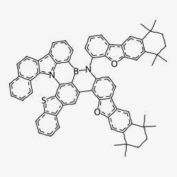 CC1(C)CCC(C)(C)c2cc3c(cc21)oc1c(N2B4c5c(cc6c(sc7ccccc76)c5-n5c6c4cccc6c4ccc6ccccc6c45)-c4c2ccc2c4oc4cc5c(cc42)C(C)(C)CCC5(C)C)cccc13